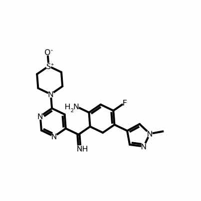 Cn1cc(C2=C(F)C=C(N)C(C(=N)c3cc(N4CC[S+]([O-])CC4)ncn3)C2)cn1